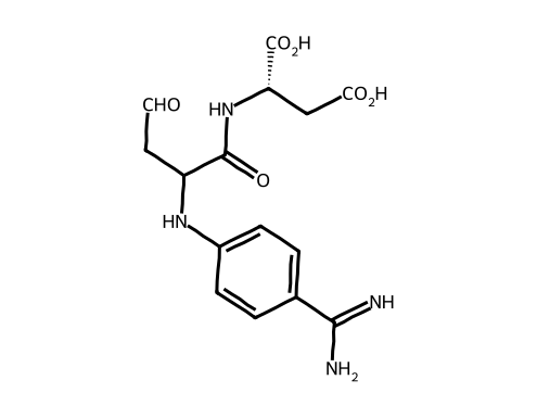 N=C(N)c1ccc(NC(CC=O)C(=O)N[C@@H](CC(=O)O)C(=O)O)cc1